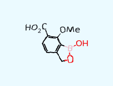 COc1c(C(=O)O)ccc2c1B(O)OC2